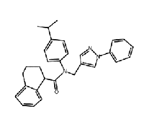 CC(C)c1ccc(N(Cc2cnn(-c3ccccc3)c2)C(=O)C2CCCc3ccccc32)cc1